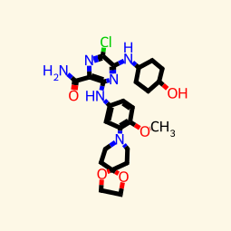 COc1ccc(Nc2nc(NC3CCC(O)CC3)c(Cl)nc2C(N)=O)cc1N1CCC2(CC1)OCCO2